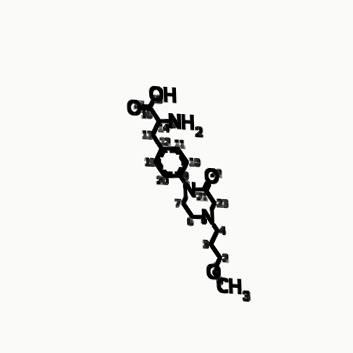 COCCCN1CCN(c2ccc(CC(N)C(=O)O)cc2)C(=O)C1